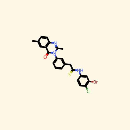 Cc1ccc2nc(C)n(-c3cccc(CC(=S)Nc4ccc(Cl)c(Br)c4)c3)c(=O)c2c1